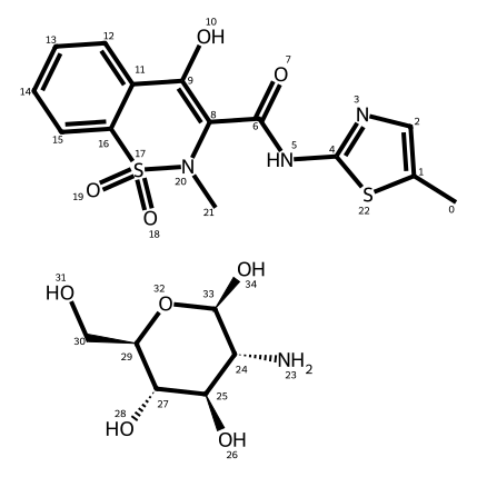 Cc1cnc(NC(=O)C2=C(O)c3ccccc3S(=O)(=O)N2C)s1.N[C@@H]1[C@@H](O)[C@H](O)[C@@H](CO)O[C@H]1O